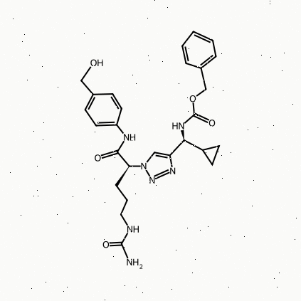 NC(=O)NCCC[C@@H](C(=O)Nc1ccc(CO)cc1)n1cc([C@@H](NC(=O)OCc2ccccc2)C2CC2)nn1